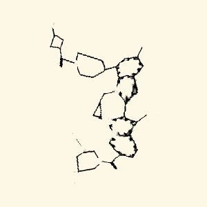 Cc1c(-c2cc3cc(F)cc(C4CCN(C(=O)C5CC(O)C5)CC4)c3n2CC2CC2)nn2cc(C(=O)N3C[C@H](N)C[C@@H](F)C3)ccc12